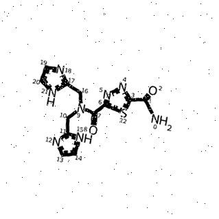 NC(=O)c1nnc(C(=O)N(Cc2ncc[nH]2)Cc2ncc[nH]2)s1